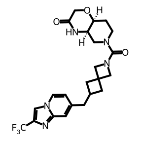 O=C1CO[C@H]2CCN(C(=O)N3CC4(CC(Cc5ccn6cc(C(F)(F)F)nc6c5)C4)C3)C[C@H]2N1